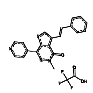 Cn1nc(-c2ccncc2)c2scc(C=Cc3ccccc3)c2c1=O.O=C(O)C(F)(F)F